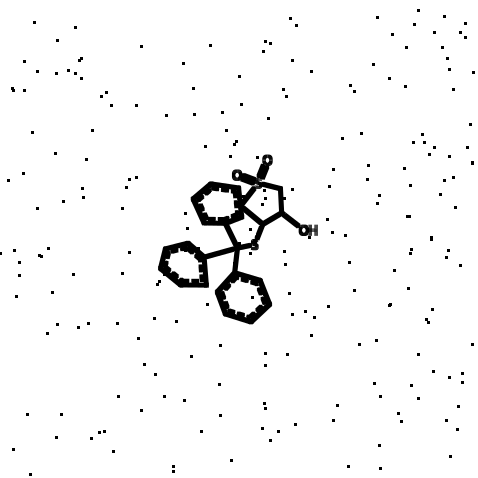 O=S1(=O)CC(O)C(SC(c2ccccc2)(c2ccccc2)c2ccccc2)C1